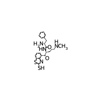 CNCCC[C@H](NC(=O)[C@H](N)Cc1ccccc1)C(=O)c1cccc2sc(S)nc12